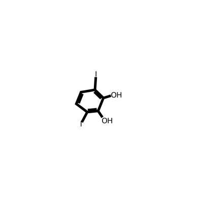 Oc1c(I)ccc(I)c1O